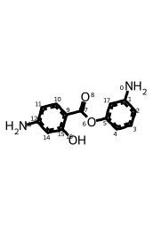 Nc1cccc(OC(=O)c2ccc(N)cc2O)c1